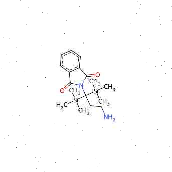 C[Si](C)(C)C(CCN)(N1C(=O)c2ccccc2C1=O)[Si](C)(C)C